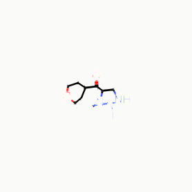 CN1NNCC1C(=O)C1CCOCC1